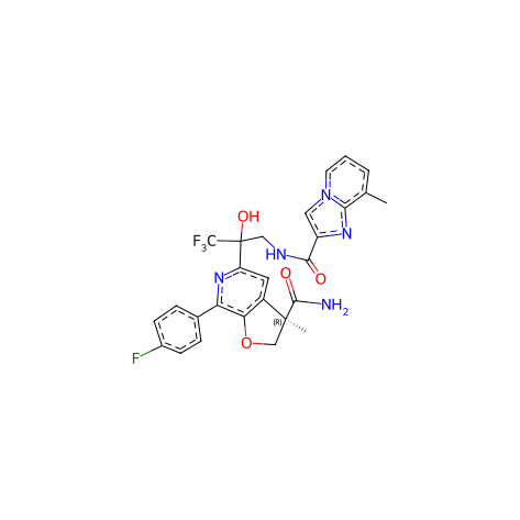 Cc1cccn2cc(C(=O)NCC(O)(c3cc4c(c(-c5ccc(F)cc5)n3)OC[C@]4(C)C(N)=O)C(F)(F)F)nc12